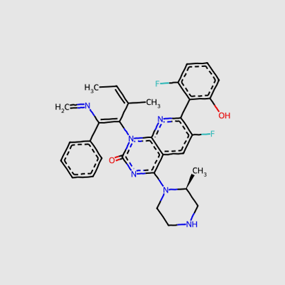 C=N/C(=C(\C(C)=C/C)n1c(=O)nc(N2CCNC[C@@H]2C)c2cc(F)c(-c3c(O)cccc3F)nc21)c1ccccc1